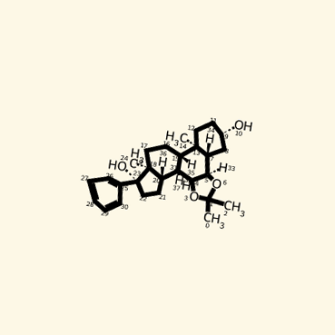 CC1(C)O[C@H]2[C@H](O1)[C@H]1C[C@@H](O)CC[C@]1(C)[C@H]1CC[C@@]3(C)[C@@H](CC[C@@]3(O)c3ccccc3)[C@H]21